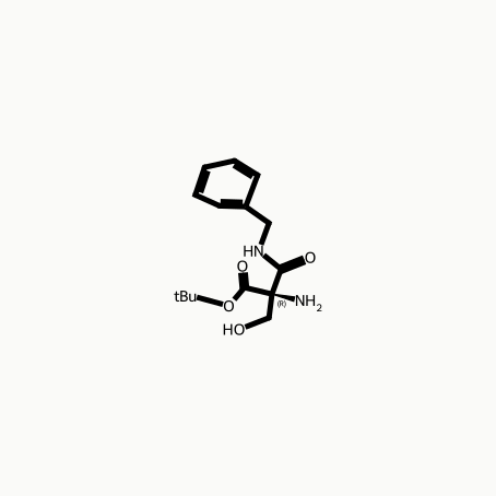 CC(C)(C)OC(=O)[C@@](N)(CO)C(=O)NCc1ccccc1